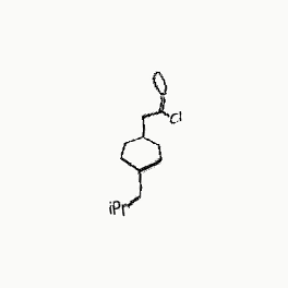 CC(C)CC1CCC(CC(=O)Cl)CC1